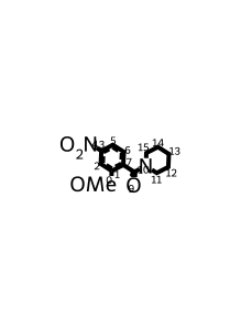 COc1cc([N+](=O)[O-])ccc1C(=O)N1CCCCC1